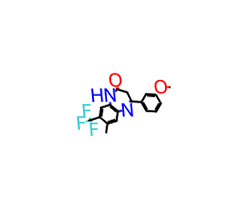 COc1cccc(C2=Nc3cc(C)c(C(F)(F)F)cc3NC(=O)C2)c1